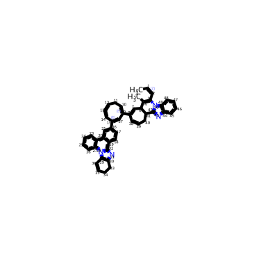 C/C=C\C1=C(C)C2C=C(C3=C/CC=C=C/C(c4ccc5c(c4)c4ccccc4n4c6c(nc54)CCC=C6)=C\3)C=CCC2c2nc3ccccc3n21